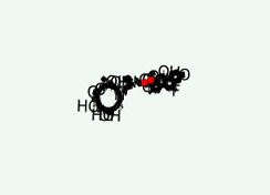 CC[C@H]1OC(=O)[C@H](C)[C@@H](O)[C@H](C)[C@@H](O)[C@](C)(O)C[C@@H](C)CN(CCCN(CC)CCC(=O)O[C@]2(C(=O)OC)[C@H](C)CC3C4C[C@H](F)C5=CC(=O)C=C[C@]5(C)[C@@]4(F)[C@@H](O)C[C@@]32C)[C@H](C)[C@@H](O)[C@]1(C)O